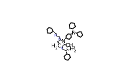 C=C/C(=C\C=C\c1ccccc1)N(C(=C)/C=C\C(=C)c1ccccc1)c1ccc(N(c2ccccc2)c2ccccc2)cc1